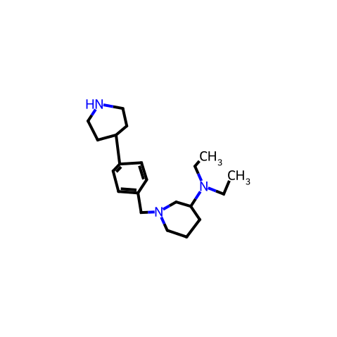 CCN(CC)C1CCCN(Cc2ccc(C3CCNCC3)cc2)C1